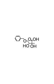 CC(O)(C(=O)O)C(O)COCc1ccccc1